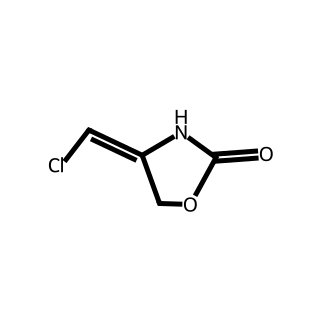 O=C1N/C(=C/Cl)CO1